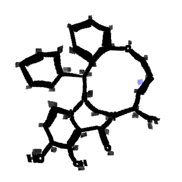 CC(C)[C@@H]1/C=C/COc2ccccc2[C@@H](c2ccccc2)N2CN1C(=O)C1=C(O)C(O)C=CN12